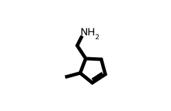 CC1C=CCC1CN